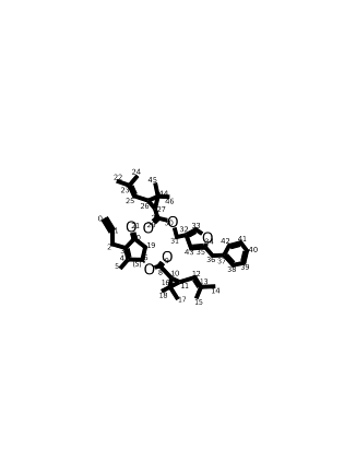 C#CCC1=C(C)[C@@H](OC(=O)C2C(C=C(C)C)C2(C)C)CC1=O.CC(C)=CC1C(C(=O)OCc2coc(Cc3ccccc3)c2)C1(C)C